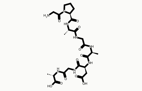 C[C@H](NC(=O)CNC(=O)[C@H](CC(=O)O)NC(=O)[C@H](C)NC(=O)CNC(=O)[C@H](C)NC(=O)[C@@H]1CCCN1C(=O)CN)C(=O)O